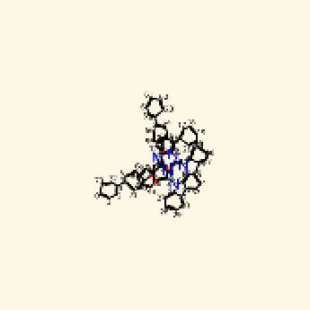 c1ccc(-c2ccc(-c3cc(-c4cccc(-c5ccccc5)c4)cc(-n4c5ccccc5c5ccc6c7ccccc7n(-c7nc(-c8ccccc8)nc(-c8ccc(-c9ccccc9)cc8)n7)c6c54)c3)cc2)cc1